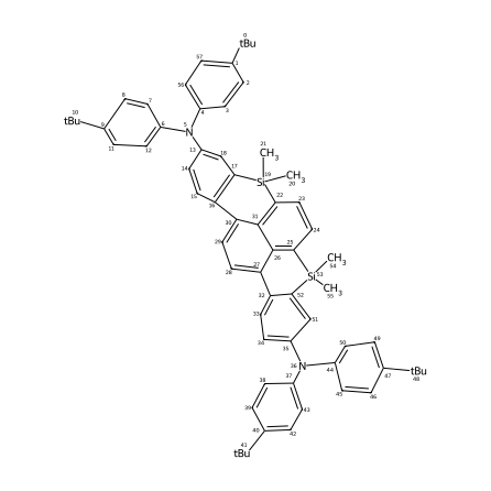 CC(C)(C)c1ccc(N(c2ccc(C(C)(C)C)cc2)c2ccc3c(c2)[Si](C)(C)c2ccc4c5c(ccc-3c25)-c2ccc(N(c3ccc(C(C)(C)C)cc3)c3ccc(C(C)(C)C)cc3)cc2[Si]4(C)C)cc1